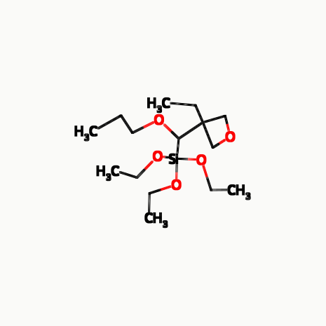 CCCOC(C1(CC)COC1)[Si](OCC)(OCC)OCC